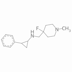 CN1CCC(F)(CNC2CC2c2ccccc2)CC1